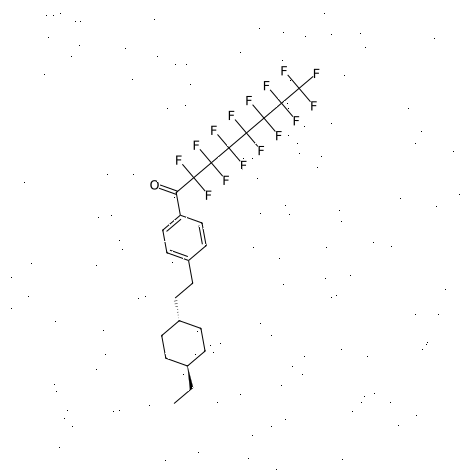 CC[C@H]1CC[C@H](CCc2ccc(C(=O)C(F)(F)C(F)(F)C(F)(F)C(F)(F)C(F)(F)C(F)(F)C(F)(F)F)cc2)CC1